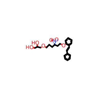 O=[N+]([O-])C(CCCOCC(O)CO)CCOc1ccccc1C=Cc1ccccc1